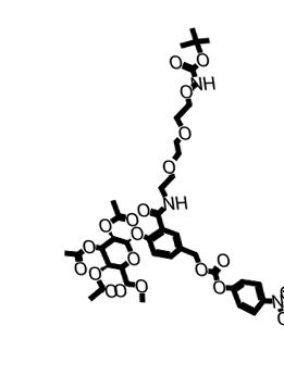 COC(=O)C1O[C@@H](Oc2ccc(COC(=O)Oc3ccc([N+](=O)[O-])cc3)cc2C(=O)NCCOCCOCCONC(=O)OC(C)(C)C)[C@H](OC(C)=O)C(OC(C)=O)[C@@H]1OC(C)=O